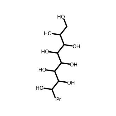 CC(C)C(O)C(O)C(O)C(O)C(O)C(O)C(O)CO